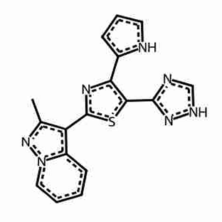 Cc1nn2ccccc2c1-c1nc(-c2ccc[nH]2)c(-c2nc[nH]n2)s1